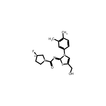 Cc1ccc(-n2cc(CO)sc2=NC(=O)N2CC[C@@H](F)C2)cc1C